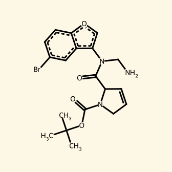 CC(C)(C)OC(=O)N1CC=CC1C(=O)N(CN)c1coc2ccc(Br)cc12